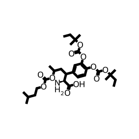 CCC(C)(C)OC(=O)Oc1ccc(C(CC(C)OC(=O)OCCC(C)C)[C@H](N)C(=O)O)cc1OC(=O)OC(C)(C)CC